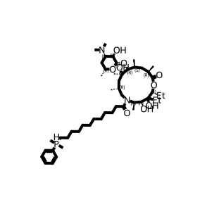 CC[C@H]1OC(=O)[C@H](C)C[C@H](C)[C@@H](O[C@@H]2O[C@H](C)C[C@H](N(C)C)[C@H]2O)[C@](C)(O)C[C@@H](C)CN(C(=O)CCCCCCCCCCC[PH](C)(C)c2ccccc2)[C@H](C)[C@@H](O)C1(O)CC